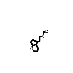 O=COCCc1ccc2occcc1-2